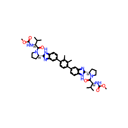 COC(=O)N[C@H](C(=O)N1CCC[C@H]1c1nc2cc(-c3ccc(-c4ccc5[nH]c([C@@H]6CCCN6C(=O)[C@@H](NC(=O)OC)C(C)C)nc5c4)c(C)c3C)ccc2[nH]1)C(C)C